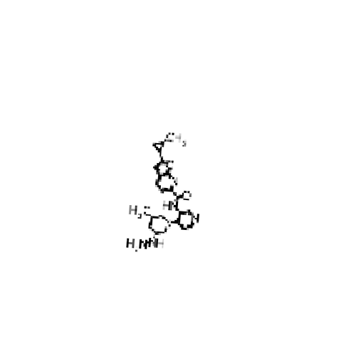 CC1CC1c1cc2ccc(C(=O)Nc3cnccc3N3C[C@H](C)C[C@H](NN)C3)nc2o1